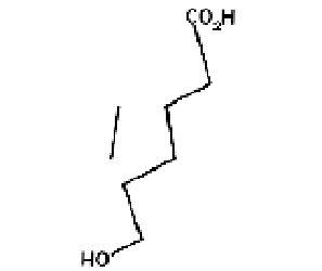 CC.O=C(O)CCCCCO